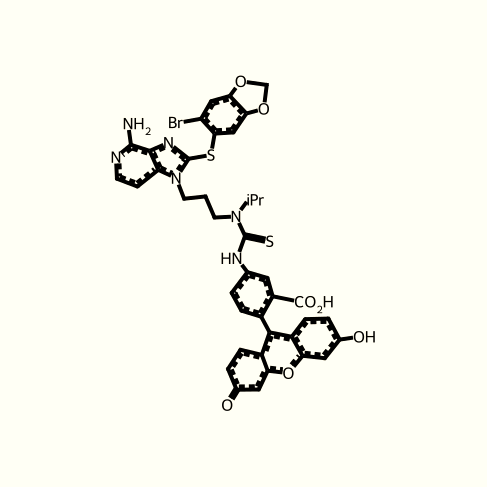 CC(C)N(CCCn1c(Sc2cc3c(cc2Br)OCO3)nc2c(N)nccc21)C(=S)Nc1ccc(-c2c3ccc(=O)cc-3oc3cc(O)ccc23)c(C(=O)O)c1